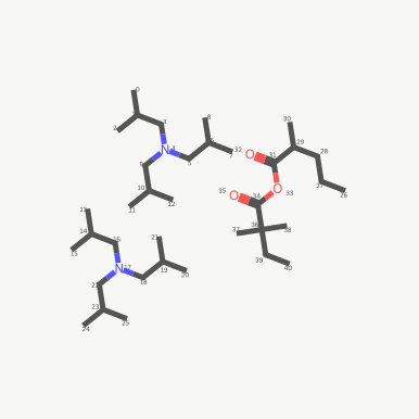 CC(C)CN(CC(C)C)CC(C)C.CC(C)CN(CC(C)C)CC(C)C.CCCC(C)C(=O)OC(=O)C(C)(C)CC